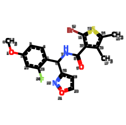 COc1ccc(C(NC(=O)c2c(Br)sc(C)c2C)c2ccon2)c(F)c1